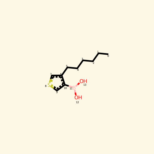 CCCCCCc1cscc1B(O)O